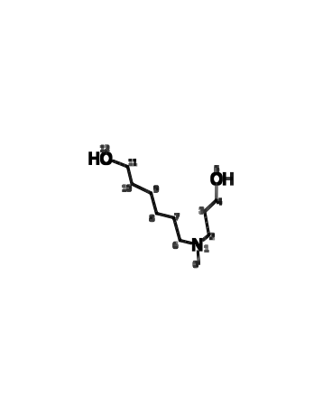 CN(CCCO)CCCCCCO